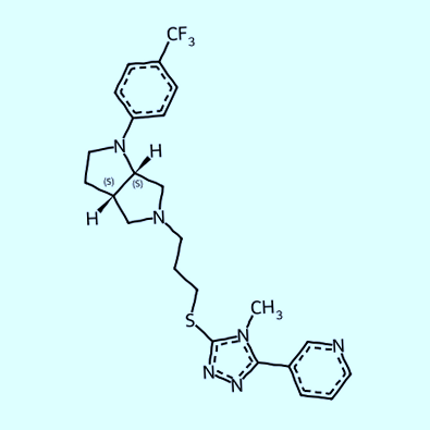 Cn1c(SCCCN2C[C@@H]3CCN(c4ccc(C(F)(F)F)cc4)[C@@H]3C2)nnc1-c1cccnc1